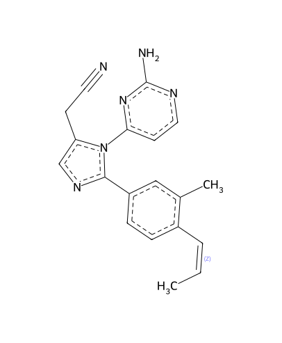 C/C=C\c1ccc(-c2ncc(CC#N)n2-c2ccnc(N)n2)cc1C